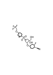 N#Cc1ccc(O[C@H]2CN(S(=O)(=O)c3ccc(OCC(F)(F)F)nn3)C[C@@]2(O)CO)cc1F